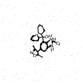 Cc1noc(C)c1-c1cc(C(O)(c2ccccn2)C2CCCCC2)c2[nH]c(=O)[nH]c2c1